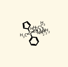 CC[Si](C)([C]1C=CC=C1)c1ccccc1.CN.CN.CN